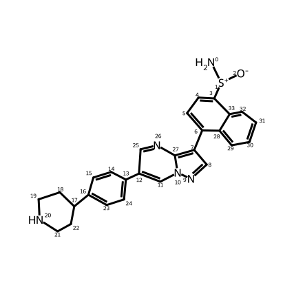 N[S+]([O-])c1ccc(-c2cnn3cc(-c4ccc(C5CCNCC5)cc4)cnc23)c2ccccc12